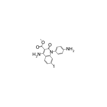 COC(=O)c1c(N)c2ccc(I)cc2n(-c2ccc(N)cc2)c1=O